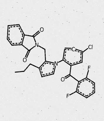 CCCc1ccn(-c2ccc(Cl)cc2C(=O)c2c(F)cccc2F)c1CN1C(=O)c2ccccc2C1=O